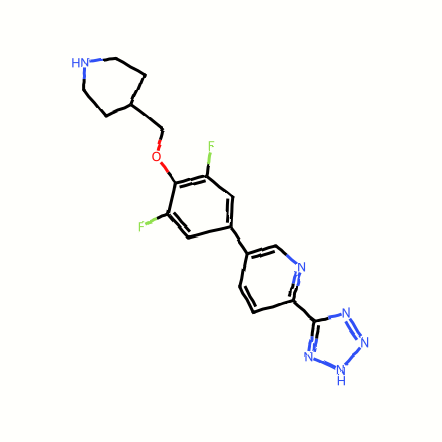 Fc1cc(-c2ccc(-c3nn[nH]n3)nc2)cc(F)c1OCC1CCNCC1